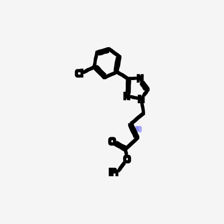 CC(C)OC(=O)/C=C/Cn1cnc(-c2cccc(Cl)c2)n1